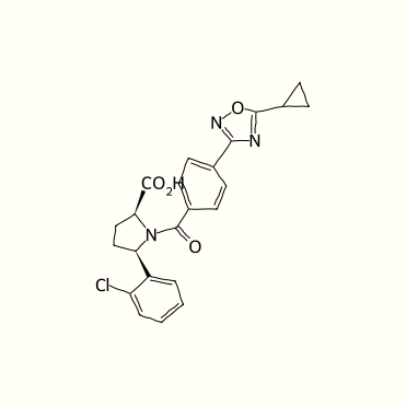 O=C(O)[C@@H]1CC[C@H](c2ccccc2Cl)N1C(=O)c1ccc(-c2noc(C3CC3)n2)cc1